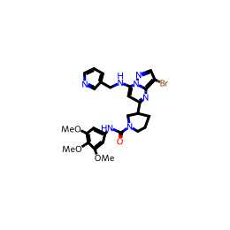 COc1cc(NC(=O)N2CCCC(c3cc(NCc4cccnc4)n4ncc(Br)c4n3)C2)cc(OC)c1OC